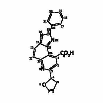 O=C(O)c1cc(C2CC=CO2)nc2ccc3nn(-c4ccccc4)nc3c12